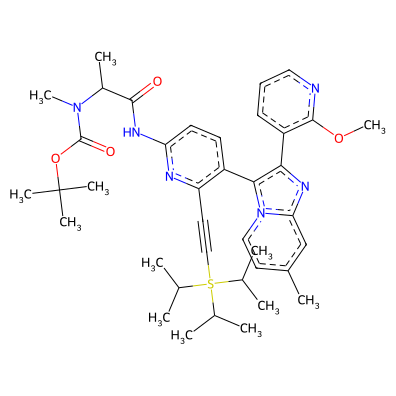 COc1ncccc1-c1nc2cc(C)ccn2c1-c1ccc(NC(=O)C(C)N(C)C(=O)OC(C)(C)C)nc1C#CS(C(C)C)(C(C)C)C(C)C